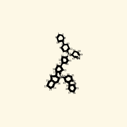 C1=CCCC(C2C=CC(N(c3ccc(-c4ccc5c6cc7ccccc7cc6n(-c6ccc7sc8ccccc8c7c6)c5c4)cc3)C3C=NC=CC3)=CC2)=C1